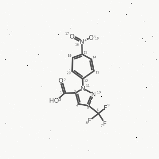 O=C(O)c1cc(C(F)(F)F)nn1-c1ccc([N+](=O)[O-])cc1